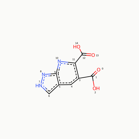 O=C(O)c1cc2c[nH]nc2nc1C(=O)O